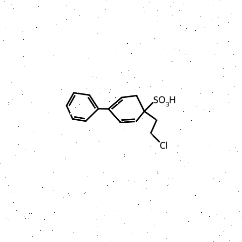 O=S(=O)(O)C1(CCCl)C=CC(c2ccccc2)=CC1